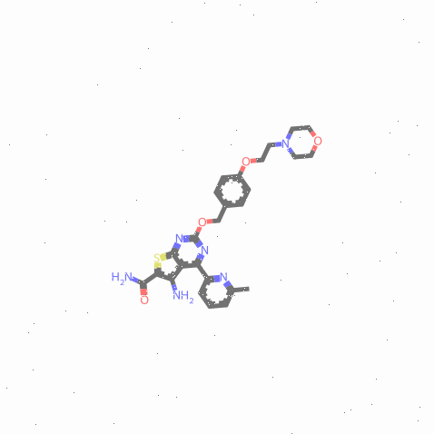 Cc1cccc(-c2nc(OCc3ccc(OCCN4CCOCC4)cc3)nc3sc(C(N)=O)c(N)c23)n1